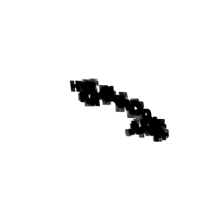 CN(C)Cc1cc(OC2CCN(C3CC(n4cc(-c5ncnc6[nH]ccc56)cn4)C3)CC2)nc(C(F)(F)F)n1